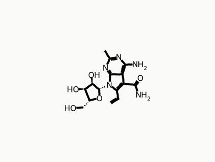 C=Cc1c(C(N)=O)c2c(N)nc(C)nc2n1[C@@H]1O[C@H](CO)[C@@H](O)[C@H]1O